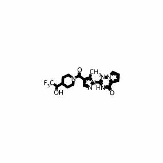 Cc1c(C(=O)N2CCC(C(O)C(F)(F)F)CC2)cnn1-c1nn2cccc2c(=O)[nH]1